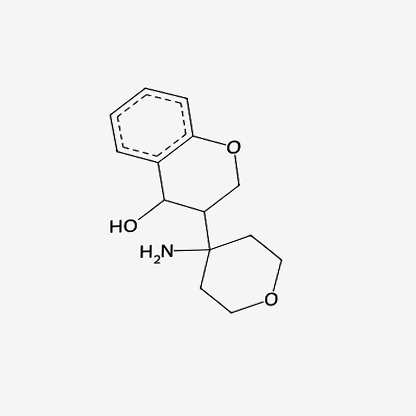 NC1(C2COc3ccccc3C2O)CCOCC1